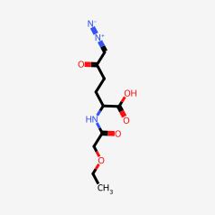 CCOCC(=O)NC(CCC(=O)C=[N+]=[N-])C(=O)O